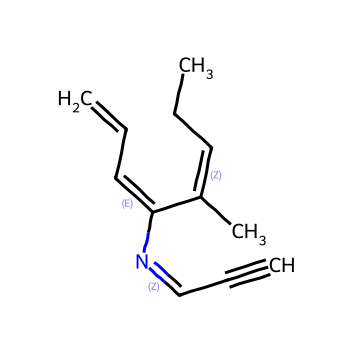 C#C\C=N/C(=C/C=C)C(/C)=C\CC